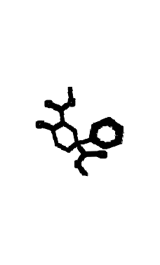 COC(=O)C1CC(C(=O)OC)(c2ccccc2)CCC1=O